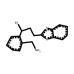 CCC(CCc1nc2ccccc2s1)c1ccccc1CN